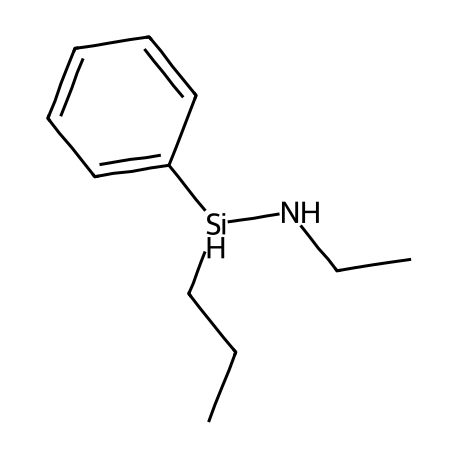 CCC[SiH](NCC)c1ccccc1